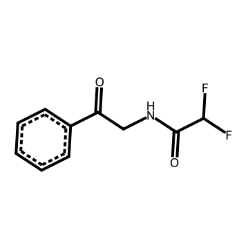 O=C(CNC(=O)C(F)F)c1ccccc1